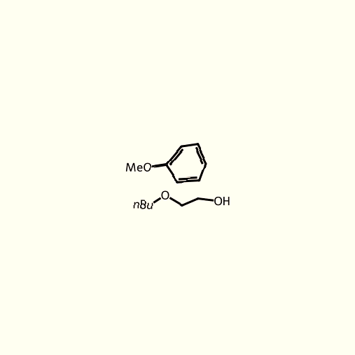 CCCCOCCO.COc1ccccc1